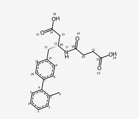 Cc1ccccc1-c1ccc(C[C@H](CC(=O)O)NC(=O)CCC(=O)O)cc1